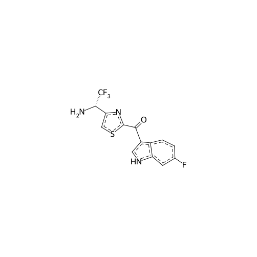 N[C@@H](c1csc(C(=O)c2c[nH]c3cc(F)ccc23)n1)C(F)(F)F